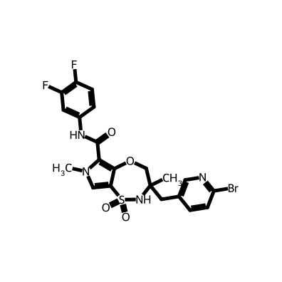 Cn1cc2c(c1C(=O)Nc1ccc(F)c(F)c1)OCC(C)(Cc1ccc(Br)nc1)NS2(=O)=O